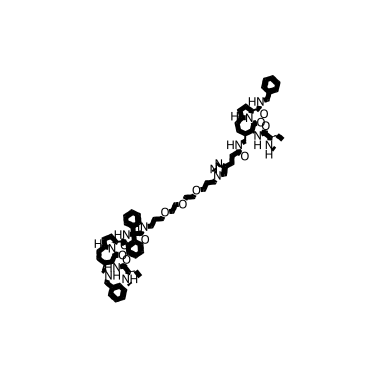 CC[C@H](NC)C(=O)N[C@@H]1C(=O)N2[C@@H](CC[C@@H]1CNC(=O)CCc1cn(CCCOCCOCCOCCCNC(=O)C(NC(=O)[C@@H]3CC[C@@H]4CC[C@H](CNCc5ccccc5)[C@H](NC(=O)[C@H](CC)NC)C(=O)N43)(c3ccccc3)c3ccccc3)nn1)CC[C@H]2C(=O)NCc1ccccc1